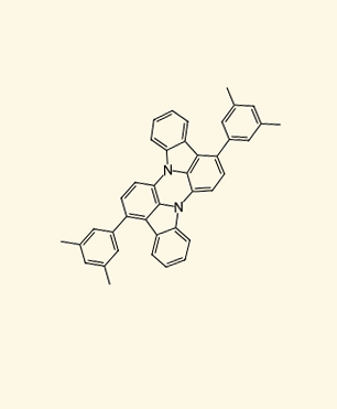 Cc1cc(C)cc(-c2ccc3c4c2c2ccccc2n4c2ccc(-c4cc(C)cc(C)c4)c4c5ccccc5n3c42)c1